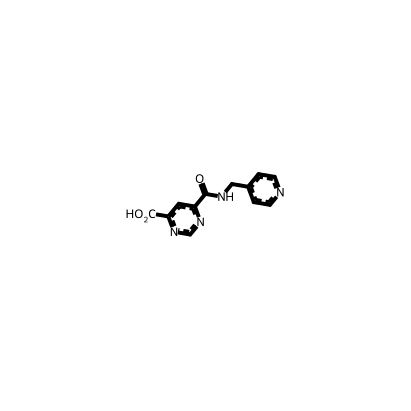 O=C(O)c1cc(C(=O)NCc2ccncc2)ncn1